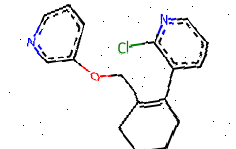 Clc1ncccc1C1=C(COc2cccnc2)CCCC1